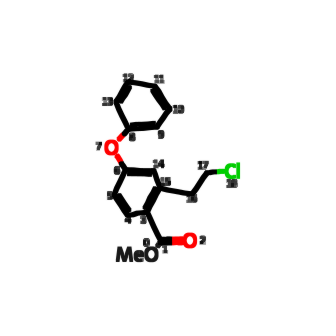 COC(=O)c1ccc(Oc2ccccc2)cc1CCCl